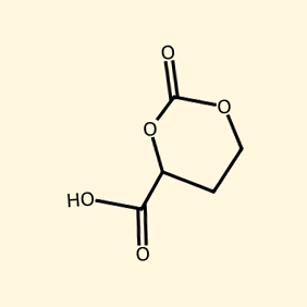 O=C1OCCC(C(=O)O)O1